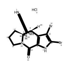 Cl.N=C1N[C@H]2c3c([nH]c(Br)c3Br)C(=O)N3CCC[C@]23N1